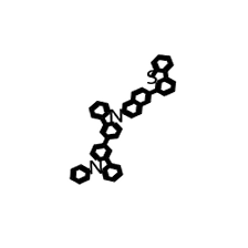 c1ccc(-n2c3ccccc3c3cc(-c4ccc5c(c4)c4ccccc4n5-c4ccc5cc(-c6cccc7c6sc6ccccc67)ccc5c4)ccc32)cc1